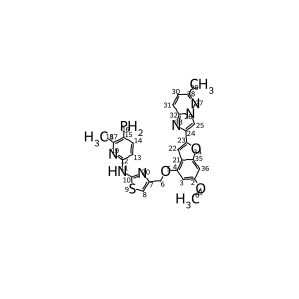 COc1cc(OCc2csc(Nc3ccc(P)c(C)n3)n2)c2cc(-c3cn4nc(C)ccc4n3)oc2c1